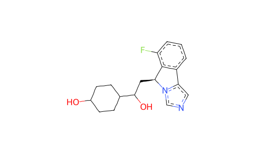 OC1CCC(C(O)C[C@H]2c3c(F)cccc3-c3cncn32)CC1